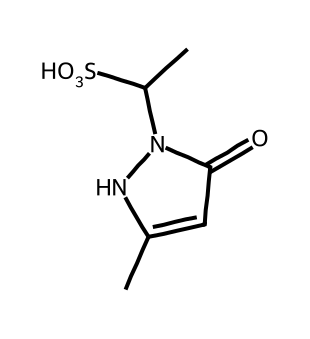 Cc1cc(=O)n(C(C)S(=O)(=O)O)[nH]1